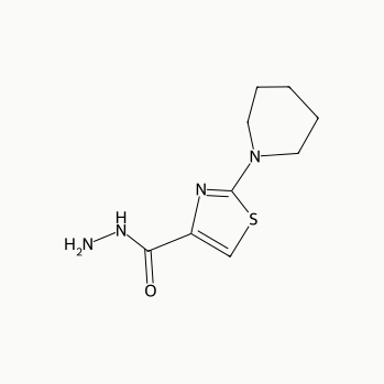 NNC(=O)c1csc(N2CCCCC2)n1